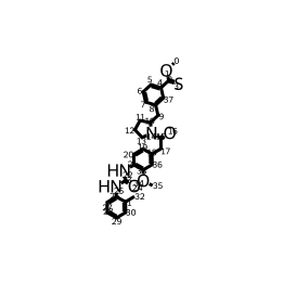 COC(=S)c1cccc(CC2CCCN2C(=O)Cc2ccc(NC(=O)Nc3ccccc3C)c(OC)c2)c1